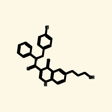 O=C(c1c[nH]c2ccc(CCCO)cc2c1=O)N(Cc1ccc(Cl)cc1)c1ccccc1